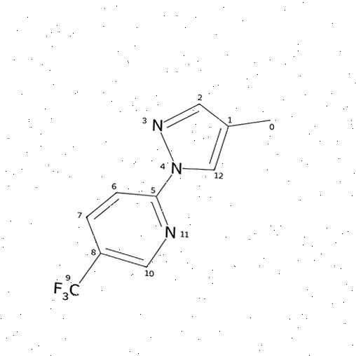 Cc1cnn(-c2ccc(C(F)(F)F)cn2)c1